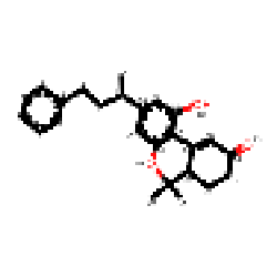 CC(CCc1ccccc1)c1cc(O)c2c(c1)OC(C)(C)C1CCC(=O)C=C21